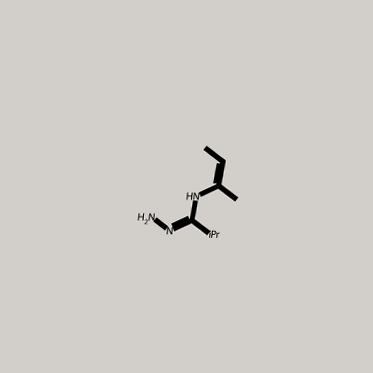 C/C=C(/C)N/C(=N\N)C(C)C